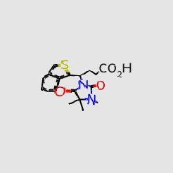 CN1C(=O)N(C(CCC(=O)O)c2scc3ccccc23)C(=O)C1(C)C